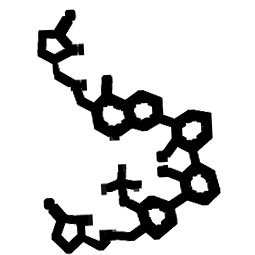 O=C1CC[C@H](CNCc2ccc(-c3cccc(-c4cccc(-c5ccn6c(=O)c(CNC[C@@H]7CCC(=O)N7)cnc6c5)c4Cl)c3Cl)cc2OC(F)(F)F)N1